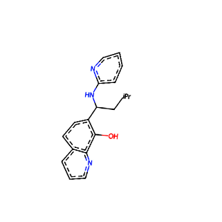 CC(C)CC(Nc1ccccn1)c1ccc2cccnc2c1O